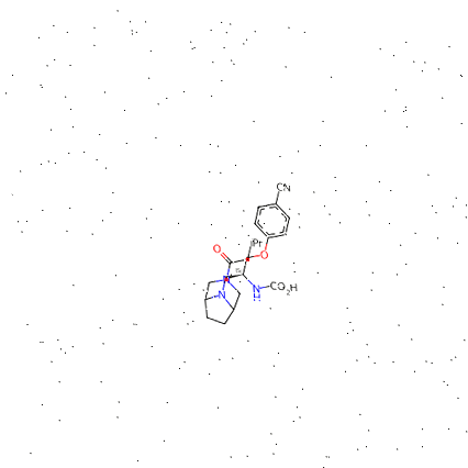 CC(C)CC(=O)N1CC2CCC(C1)N2C[C@@H](COc1ccc(C#N)cc1)NC(=O)O